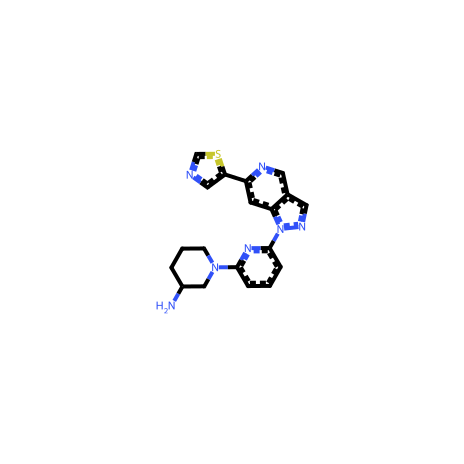 NC1CCCN(c2cccc(-n3ncc4cnc(-c5cncs5)cc43)n2)C1